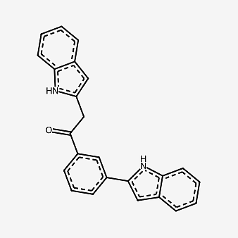 O=C(Cc1cc2ccccc2[nH]1)c1cccc(-c2cc3ccccc3[nH]2)c1